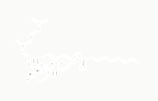 CCCCCCCCC(=O)O[C@H]1CC[C@@]2(C)C(=CC[C@H]3[C@H](CCCC(C)CCCC(C)C)[C@H](C)CC[C@@H]32)C1